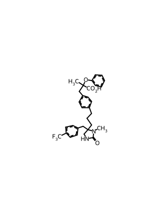 CN1C(=O)NCC1(CCCc1ccc(CC(C)(Oc2ccccc2)C(=O)O)cc1)Cc1ccc(C(F)(F)F)cc1